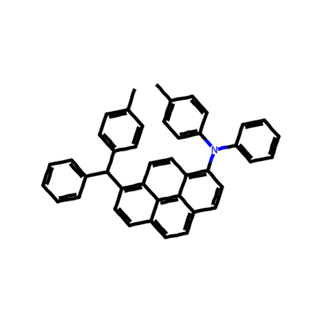 Cc1ccc(C(c2ccccc2)c2ccc3ccc4ccc(N(c5ccccc5)c5ccc(C)cc5)c5ccc2c3c45)cc1